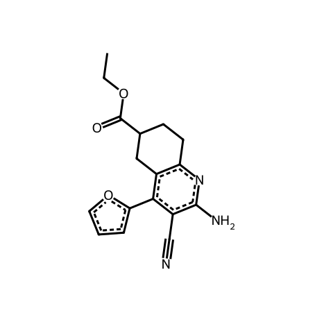 CCOC(=O)C1CCc2nc(N)c(C#N)c(-c3ccco3)c2C1